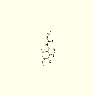 COc1c(NC(=O)OC(C)(C)C)ccnc1C(=O)N(C)C(C)C